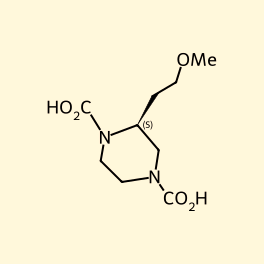 COCC[C@H]1CN(C(=O)O)CCN1C(=O)O